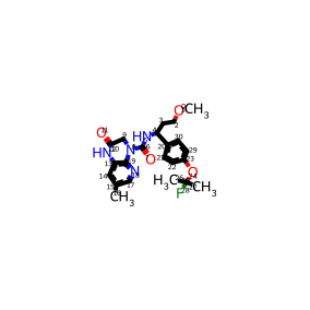 COCCC(NC(=O)N1CC(=O)Nc2cc(C)cnc21)c1ccc(OC(C)(C)F)cc1